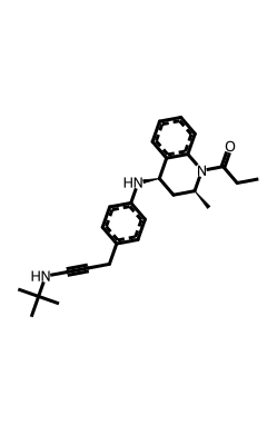 CCC(=O)N1c2ccccc2[C@H](Nc2ccc(CC#CNC(C)(C)C)cc2)C[C@@H]1C